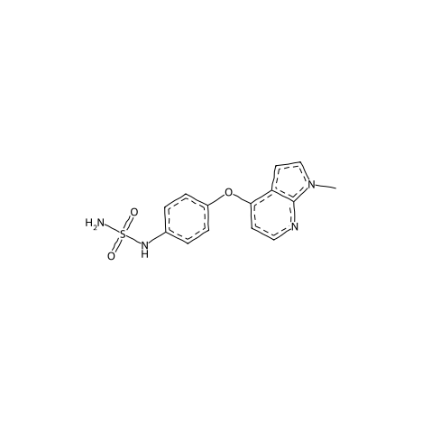 Cn1ccc2c(Oc3ccc(NS(N)(=O)=O)cc3)ccnc21